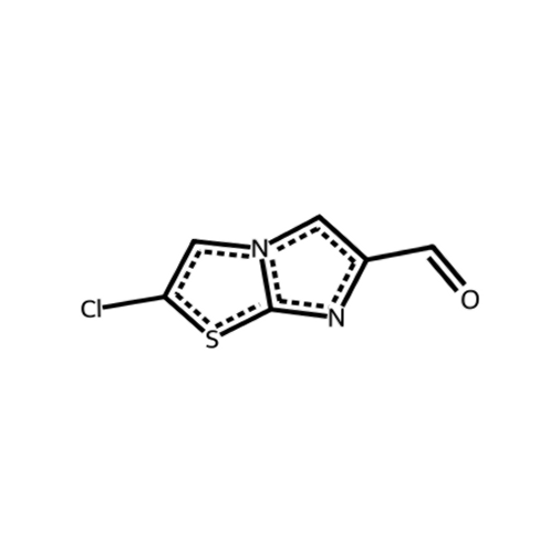 O=Cc1cn2cc(Cl)sc2n1